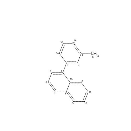 Cc1cc(-c2cccc3ccccc23)ccn1